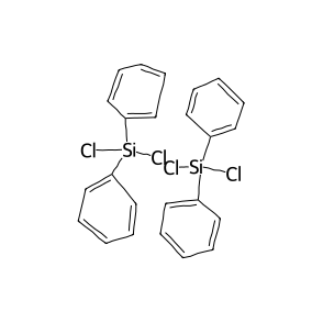 Cl[Si](Cl)(c1ccccc1)c1ccccc1.Cl[Si](Cl)(c1ccccc1)c1ccccc1